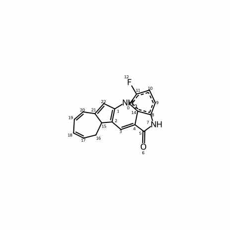 NC1=C(C=C2C(=O)Nc3ccc(F)cc32)C2CC=CC=CC2=C1